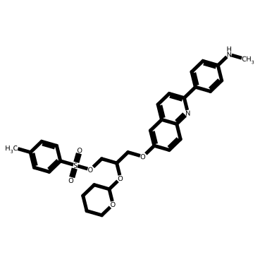 CNc1ccc(-c2ccc3cc(OCC(COS(=O)(=O)c4ccc(C)cc4)OC4CCCCO4)ccc3n2)cc1